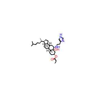 CCC(=O)O[C@H]1CC[C@]2(C)[C@H]3CC[C@]4(C)[C@@H]([C@H](C)CCCC(C)C)CC[C@H]4[C@@H]3C[C@@H](NCCc3c[nH]cn3)[C@@]2(O)C1